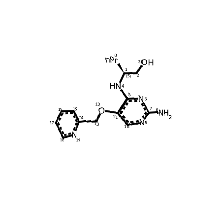 CCC[C@@H](CO)Nc1nc(N)ncc1OCc1ccccn1